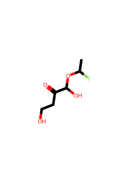 CC(F)OC(O)C(=O)CCO